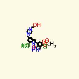 CS(=O)(=O)Oc1cc(-c2cc3cc(CN4CCN(CCO)CC4)ccc3[nH]2)c2c(c1Cl)CNC2=O.Cl.Cl